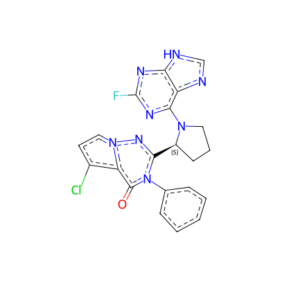 O=c1c2c(Cl)ccn2nc([C@@H]2CCCN2c2nc(F)nc3[nH]cnc23)n1-c1ccccc1